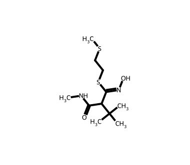 CNC(=O)C(C(=NO)SCCSC)C(C)(C)C